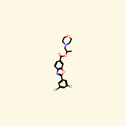 CC(CN1CCOCC1)OC(=O)c1ccc2nc(-c3cc(Cl)cc(Cl)c3)oc2c1